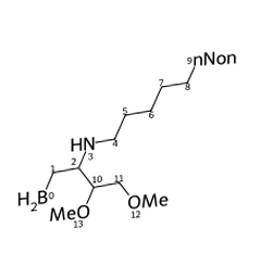 BCC(NCCCCCCCCCCCCCC)C(COC)OC